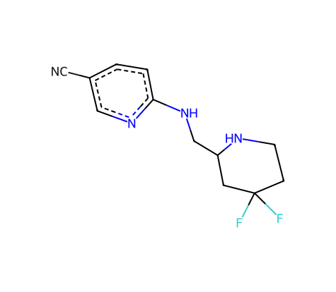 N#Cc1ccc(NCC2CC(F)(F)CCN2)nc1